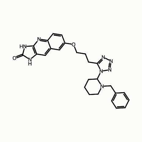 O=c1[nH]c2cc3cc(OCCCc4nnnn4C4CCCCN4Cc4ccccc4)ccc3nc2[nH]1